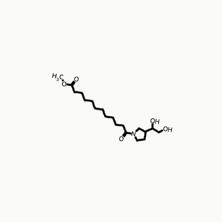 COC(=O)CCCCCCCCCCC(=O)N1CCC(C(O)CO)C1